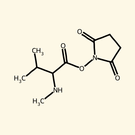 CNC(C(=O)ON1C(=O)CCC1=O)C(C)C